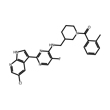 Cc1ccccc1C(=O)N1CCCC(CNc2nc(-c3c[nH]c4ncc(Cl)cc34)ncc2F)C1